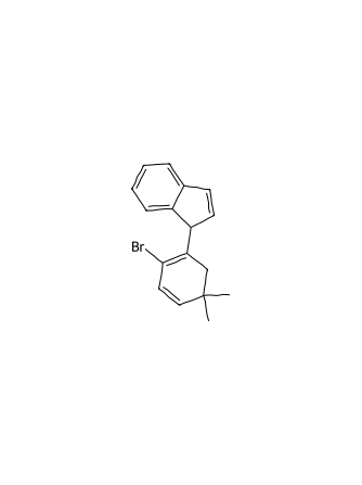 CC1(C)C=CC(Br)=C(C2C=Cc3ccccc32)C1